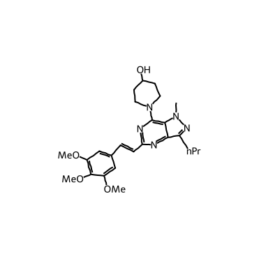 CCCc1nn(C)c2c(N3CCC(O)CC3)nc(C=Cc3cc(OC)c(OC)c(OC)c3)nc12